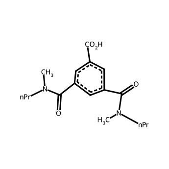 CCCN(C)C(=O)c1cc(C(=O)O)cc(C(=O)N(C)CCC)c1